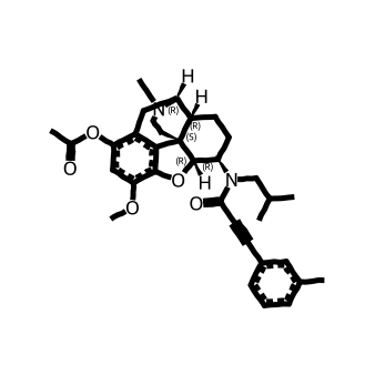 COc1cc(OC(C)=O)c2c3c1O[C@H]1[C@H](N(CC(C)C)C(=O)C#Cc4cccc(C)c4)CC[C@H]4[C@@H](C2)N(C)CC[C@@]341